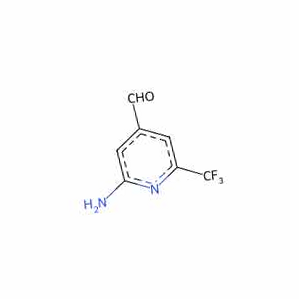 Nc1cc(C=O)cc(C(F)(F)F)n1